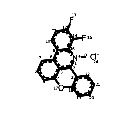 C[n+]1c2c3c(cccc3c3ccc(F)c(F)c31)Oc1ccccc1-2.[Cl-]